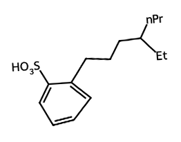 CCCC(CC)CCCc1ccccc1S(=O)(=O)O